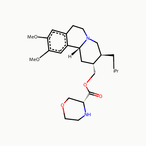 COc1cc2c(cc1OC)[C@H]1C[C@@H](COC(=O)[C@H]3COCCN3)[C@H](CC(C)C)CN1CC2